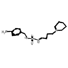 Bc1ccc(CNS(=O)(=O)NCCCCN2CCCCC2)cc1